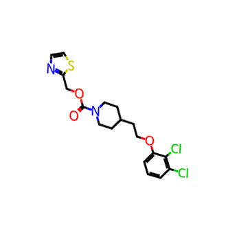 O=C(OCc1nccs1)N1CCC(CCOc2cccc(Cl)c2Cl)CC1